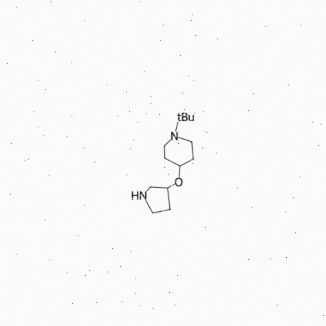 CC(C)(C)N1CCC(OC2CCNC2)CC1